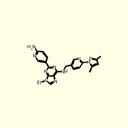 CCn1cnc2c(NCc3ccc(-n4nc(C)cc4C)nc3)nc(-c3ccc(N)nc3)nc21